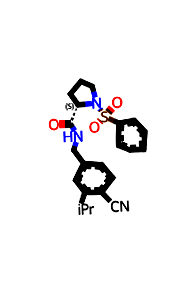 CC(C)c1cc(CNC(=O)[C@@H]2CCCN2S(=O)(=O)c2ccccc2)ccc1C#N